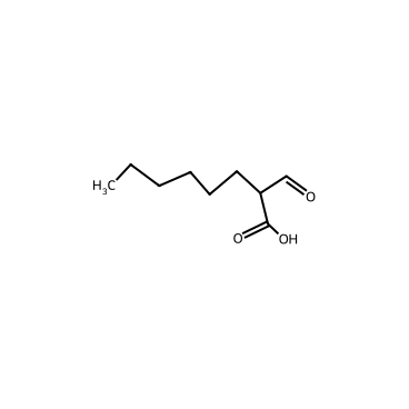 CCCCCCC(C=O)C(=O)O